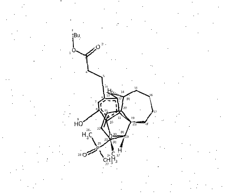 CC(C)(C)OC(=O)CCc1cc(O)c2c3c1C[C@H]1CCCC[C@]34C1C=C[C@@](C)(P(C)(C)=O)[C@@H]4O2